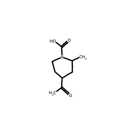 CC(=O)C1CCN(C(=O)O)C(C)C1